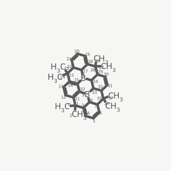 CC1(C)C2=CC=CC3C2B2c4c1ccc1c4B4C5C(=CC=CC5C1(C)C)C(C)(C)C1C=CC(C2C41)C3(C)C